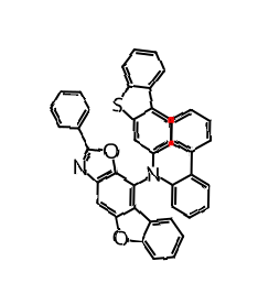 c1ccc(-c2nc3cc4oc5ccccc5c4c(N(c4ccc5c(c4)sc4ccccc45)c4ccccc4-c4ccccc4)c3o2)cc1